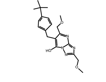 COCc1nc2nc(COC)c(Cc3ccc(C(C)(C)C)cc3)c(O)n2n1